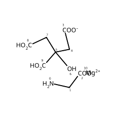 NCC(=O)[O-].O=C([O-])CC(O)(CC(=O)O)C(=O)O.[Mg+2]